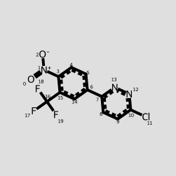 O=[N+]([O-])c1ccc(-c2ccc(Cl)nn2)cc1C(F)(F)F